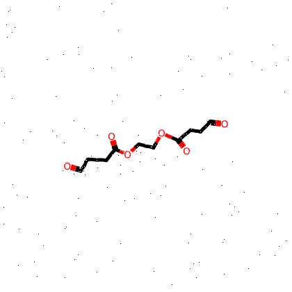 O=[C]CCC(=O)OCCOC(=O)CC[C]=O